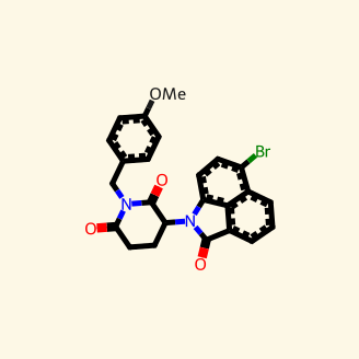 COc1ccc(CN2C(=O)CCC(N3C(=O)c4cccc5c(Br)ccc3c45)C2=O)cc1